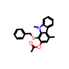 CC(=O)Oc1cc(C)c2c3ccccc3n(C)c2c1SCc1ccccc1